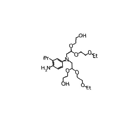 CCOCCOC(CN(CC(OCCO)OCCOCC)c1ccc(N)c(C(C)C)c1)OCCO